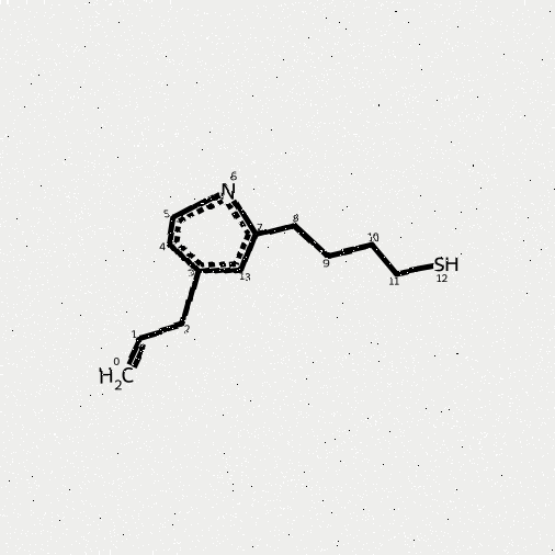 C=CCc1ccnc(CCCCS)c1